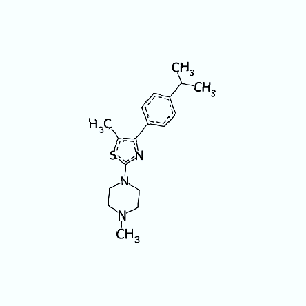 Cc1sc(N2CCN(C)CC2)nc1-c1ccc(C(C)C)cc1